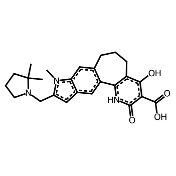 Cn1c(CN2CCCC2(C)C)cc2cc3c(cc21)CCCc1c-3[nH]c(=O)c(C(=O)O)c1O